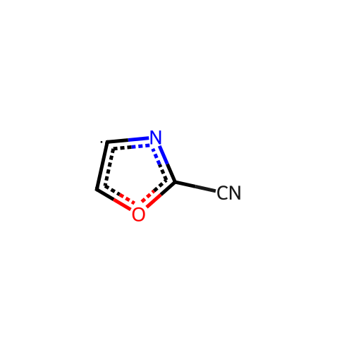 N#Cc1n[c]co1